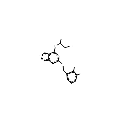 CC(CO)Nc1nc(SCc2cccc(F)c2F)cc2[nH]ncc12